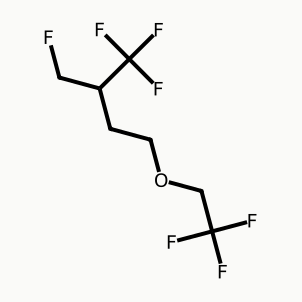 FCC(CCOCC(F)(F)F)C(F)(F)F